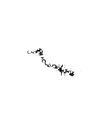 Cc1cccc(NC(=O)c2ccc(-c3nn4c(c3C(N)=O)Nc3ccc(N5CCN(CC6CCN(c7ccc(N8CCC(=O)N(CC(=O)OCc9ccccc9)C8=O)cc7)CC6)CC5)cc3CC4)c(F)c2C)n1